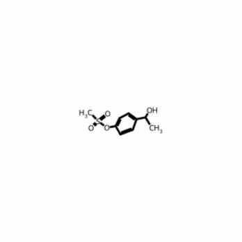 CC(O)c1ccc(OS(C)(=O)=O)cc1